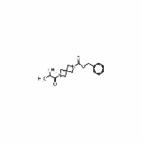 CC(C)C(=O)N1CC2(CN(C(=O)OCc3ccccc3)C2)C1